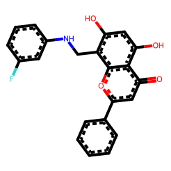 O=c1cc(-c2ccccc2)oc2c(CNc3cccc(F)c3)c(O)cc(O)c12